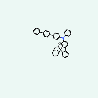 CC1CC2CCCC(C2)C12c1ccccc1-c1ccc(N(c3ccccc3)c3ccc(-c4ccc(-c5ccccc5)cc4)cc3)cc12